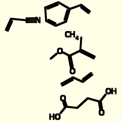 C.C=C(C)C(=O)OC.C=CC#N.C=CC=C.C=Cc1ccccc1.O=C(O)CCC(=O)O